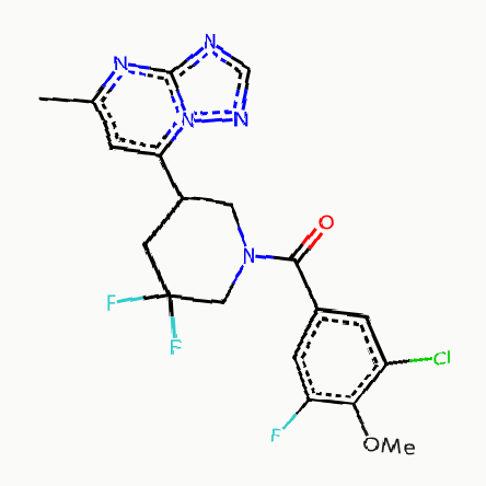 COc1c(F)cc(C(=O)N2CC(c3cc(C)nc4ncnn34)CC(F)(F)C2)cc1Cl